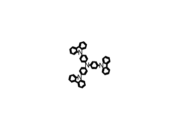 c1ccc2c(c1)c1ccccc1n2-c1ccc(N(c2ccc(-n3c4ccccc4c4ccccc43)cc2)c2ccc(-n3c4ccccc4c4ccccc43)cc2)cc1